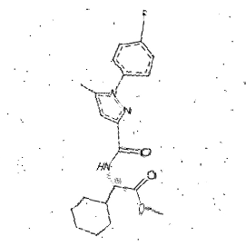 COC(=O)[C@@H](NC(=O)c1cc(C)n(-c2ccc(F)cc2)n1)C1CCCCC1